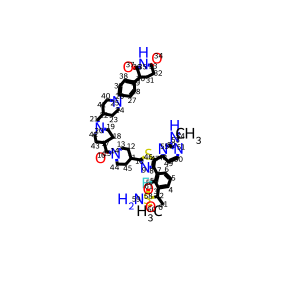 CCC(c1cccc(-c2nc(C3CCN(C(=O)C4CCN(CC5CCN(c6ccc(C7CCC(=O)NC7=O)cc6)CC5)CC4)CC3)sc2-c2ccnc(NC)n2)c1F)S(N)(=O)=O